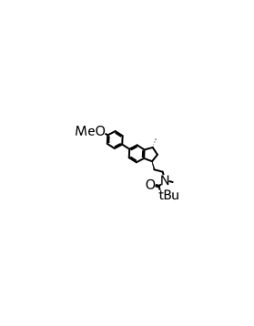 COc1ccc(-c2ccc3c(c2)[C@H](C)C[C@H]3CCN(C)C(=O)C(C)(C)C)cc1